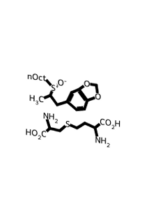 CCCCCCCC[S+]([O-])C(C)Cc1ccc2c(c1)OCO2.NC(CCSCC(N)C(=O)O)C(=O)O